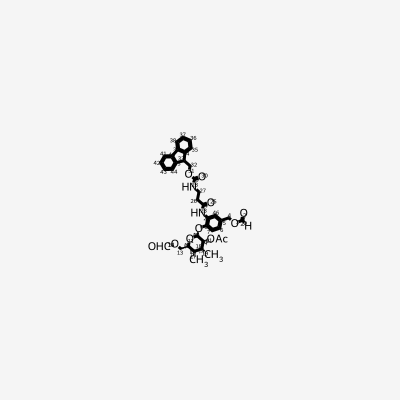 [2H]C(=O)OCc1ccc(O[C@@H]2O[C@H](COC=O)[C@@H](C)[C@H](C)[C@H]2OC(C)=O)c(NC(=O)CCNC(=O)OCC2c3ccccc3-c3ccccc32)c1